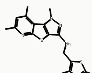 Cc1cc(C)c2c(n1)sc1c(NCc3sc(C)nc3C)nn(C)c12